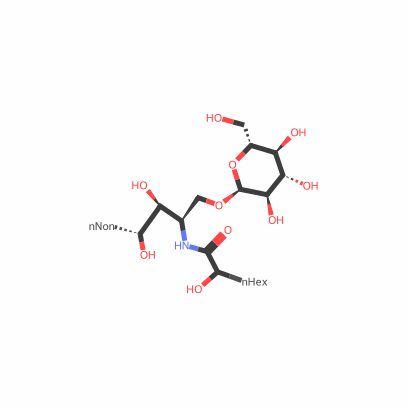 CCCCCCCCC[C@@H](O)[C@@H](O)[C@@H](CO[C@H]1O[C@H](CO)[C@@H](O)[C@H](O)[C@H]1O)NC(=O)C(O)CCCCCC